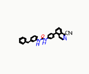 N#Cc1nccc2c(-c3ccc(NC(=O)Nc4cccc(Cc5ccccc5)c4)cc3)cccc12